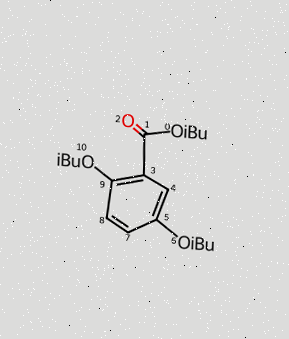 CC(C)COC(=O)c1cc(OCC(C)C)ccc1OCC(C)C